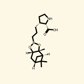 CC1(C)[C@@H]2C[C@@H]3OB(CCC[C@@H]4CCN[C@@H]4C(=O)O)O[C@]3(C)[C@@H]1C2